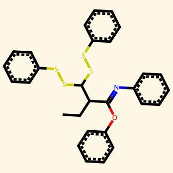 CCC(/C(=N/c1ccccc1)Oc1ccccc1)C(SSc1ccccc1)SSc1ccccc1